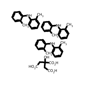 Cc1ccccc1Nc1ccccc1C.Cc1ccccc1Nc1ccccc1C.Cc1ccccc1Nc1ccccc1C.O=C(O)CC(O)(CC(=O)O)C(=O)O